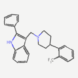 FC(F)(F)c1ccccc1C1CCN(Cc2c(-c3ccccc3)[nH]c3ccccc23)CC1